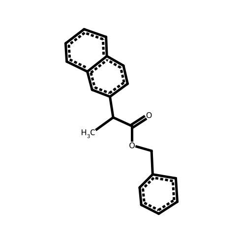 CC(C(=O)OCc1ccccc1)c1ccc2ccccc2c1